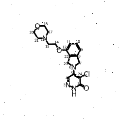 O=c1[nH]ncc(N2Cc3cccc(OCCN4CCOCC4)c3C2)c1Cl